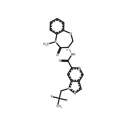 CN1C(=O)[C@@H](NC(=O)c2cc3c(cn2)cnn3CC(C)(F)F)COc2ccccc21